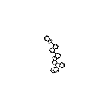 c1ccc2c(c1)-c1c(ccc3oc4c(-c5cccc6c(-c7nc8ccccc8o7)cccc56)cccc4c13)C21C2CC3CC(C2)CC1C3